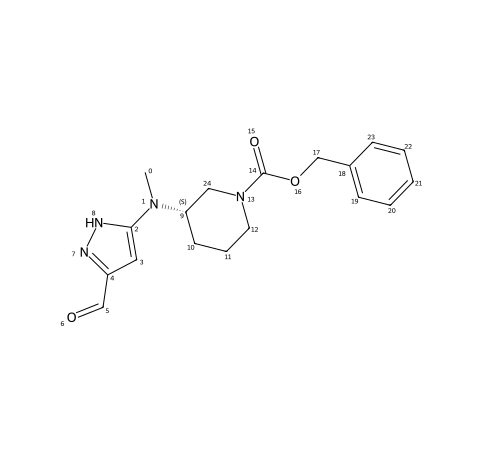 CN(c1cc(C=O)n[nH]1)[C@H]1CCCN(C(=O)OCc2ccccc2)C1